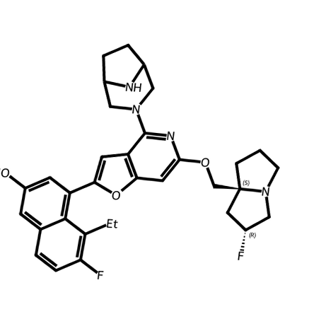 CCc1c(F)ccc2cc(O)cc(-c3cc4c(N5CC6CCC(C5)N6)nc(OC[C@@]56CCCN5C[C@H](F)C6)cc4o3)c12